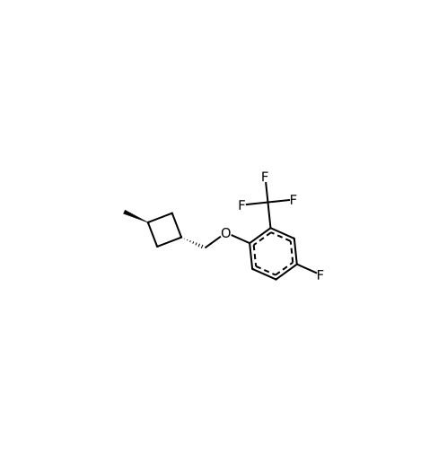 C[C@H]1C[C@H](COc2ccc(F)cc2C(F)(F)F)C1